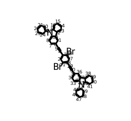 Brc1cc(C#Cc2ccc3c(c2)c2ccccc2n3-c2ccccc2)c(Br)cc1C#Cc1ccc2c(c1)c1ccccc1n2-c1ccccc1